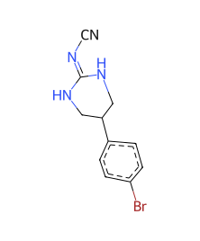 N#CN=C1NCC(c2ccc(Br)cc2)CN1